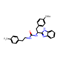 COc1ccc(CC(NC(=O)NCCc2ccc(C(F)(F)F)cc2)c2nc3ccccc3[nH]2)cc1